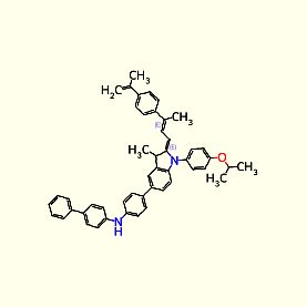 C=C(C)c1ccc(/C(C)=C/C=C2\C(C)c3cc(-c4ccc(Nc5ccc(-c6ccccc6)cc5)cc4)ccc3N2c2ccc(OC(C)C)cc2)cc1